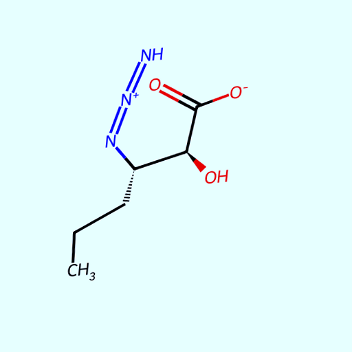 CCC[C@H](N=[N+]=N)[C@H](O)C(=O)[O-]